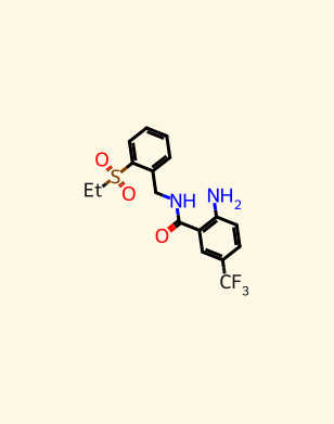 CCS(=O)(=O)c1ccccc1CNC(=O)c1cc(C(F)(F)F)ccc1N